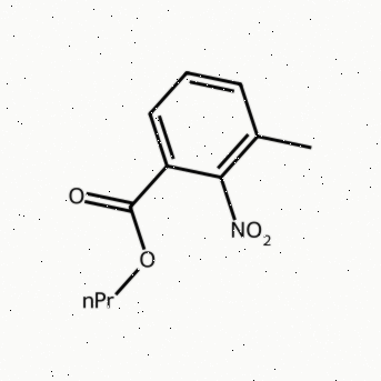 CCCOC(=O)c1cccc(C)c1[N+](=O)[O-]